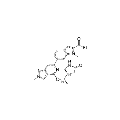 CCC(=O)c1cc2ccc(-c3cc4nn(C)cc4c(O[C@H](C)[C@H]4CNC(=O)C4)n3)cc2n1C